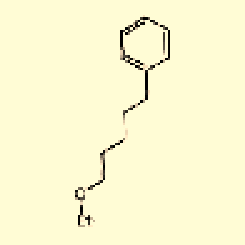 C[CH]OCCCCCc1ccccc1